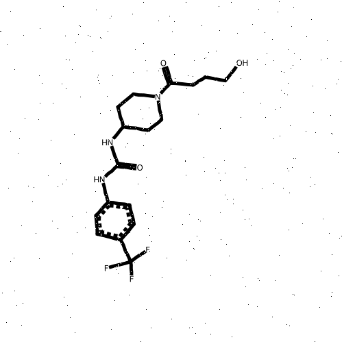 O=C(Nc1ccc(C(F)(F)F)cc1)NC1CCN(C(=O)CCCO)CC1